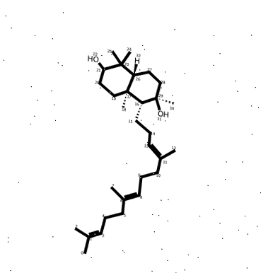 CC(C)=CCC/C(C)=C/CC/C(C)=C/CC[C@@H]1[C@@]2(C)CCC(O)C(C)(C)[C@@H]2CC[C@@]1(C)O